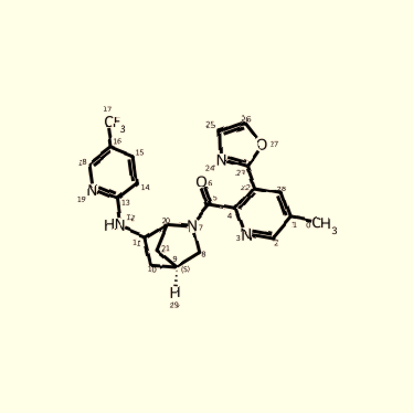 Cc1cnc(C(=O)N2C[C@H]3CC(Nc4ccc(C(F)(F)F)cn4)C2C3)c(-c2ncco2)c1